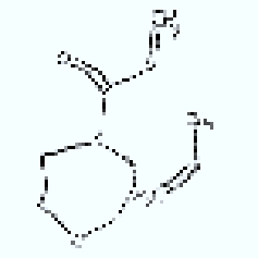 C=CC(=O)N1CCOCC1.[CH2]C=C